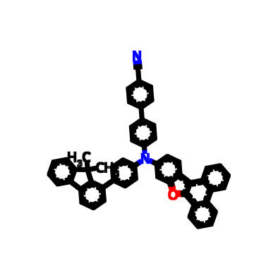 CC1(C)c2ccccc2-c2cccc(-c3ccc(N(c4ccc(-c5ccc(C#N)cc5)cc4)c4ccc5c(c4)oc4c6ccccc6c6ccccc6c54)cc3)c21